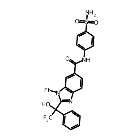 CCn1c(C(O)(c2ccccc2)C(F)(F)F)nc2ccc(C(=O)Nc3ccc(S(N)(=O)=O)cc3)cc21